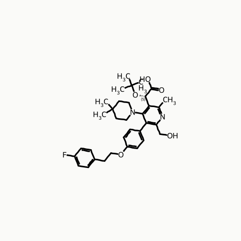 Cc1nc(CO)c(-c2ccc(OCCc3ccc(F)cc3)cc2)c(N2CCC(C)(C)CC2)c1[C@H](OC(C)(C)C)C(=O)O